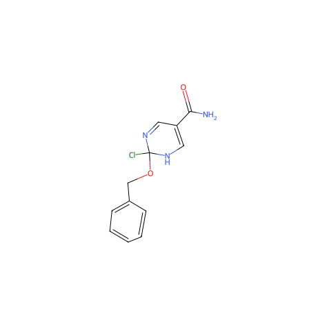 NC(=O)C1=CNC(Cl)(OCc2ccccc2)N=C1